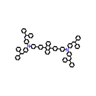 C(=C(c1ccccc1)c1ccccc1)c1ccc(N(c2ccc(C=C(c3ccccc3)c3ccccc3)cc2)c2ccc(-c3ccc(-c4c5ccccc5c(-c5ccc(-c6ccc(N(c7ccc(C=C(c8ccccc8)c8ccccc8)cc7)c7ccc(C=C(c8ccccc8)c8ccccc8)cc7)cc6)cc5)c5ccccc45)cc3)cc2)cc1